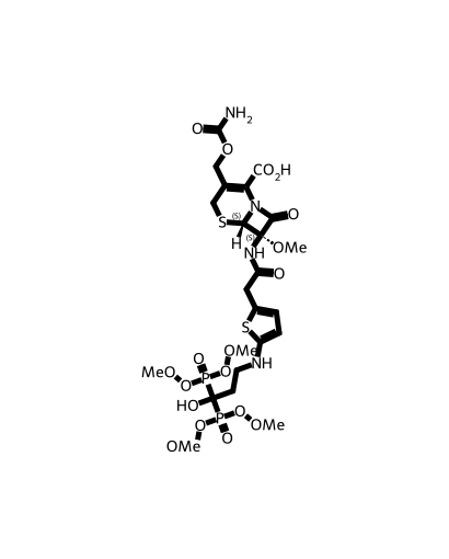 COOP(=O)(OOC)C(O)(CCNc1ccc(CC(=O)N[C@]2(OC)C(=O)N3C(C(=O)O)=C(COC(N)=O)CS[C@H]32)s1)P(=O)(OOC)OOC